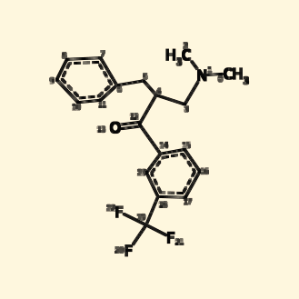 CN(C)CC(Cc1ccccc1)C(=O)c1cccc(C(F)(F)F)c1